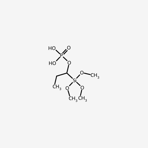 CCC(OP(=O)(O)O)[Si](OC)(OC)OC